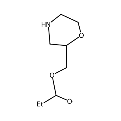 CCC([O])OCC1CNCCO1